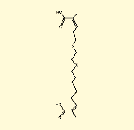 CC(=CCCSCCSCCSCCC=C(C)C(=O)O)C(=O)O